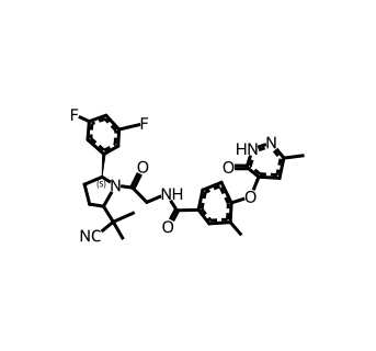 Cc1cc(Oc2ccc(C(=O)NCC(=O)N3C(C(C)(C)C#N)CC[C@H]3c3cc(F)cc(F)c3)cc2C)c(=O)[nH]n1